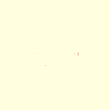 C=CC(=O)O.CCCP(=O)(OCC)OCC